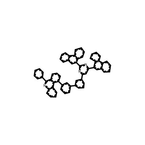 c1ccc(-c2nc3ccccc3c3c(-c4cccc(-c5cccc(-c6cc(-c7cc8ccccc8c8ccccc78)nc(-c7cc8ccccc8c8ccccc78)n6)c5)c4)cccc23)cc1